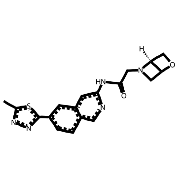 Cc1nnc(-c2ccc3cnc(NC(=O)CN4CC5OC[C@@H]54)cc3c2)s1